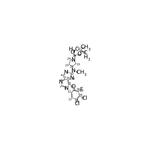 CN(c1ncc2ncnc(Oc3ccc(Cl)c(Cl)c3F)c2n1)C1CCN(C(=O)OC(C)(C)C)C1